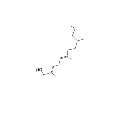 CCCC(C)CC/C(C)=C/C/C=C(\C)CO